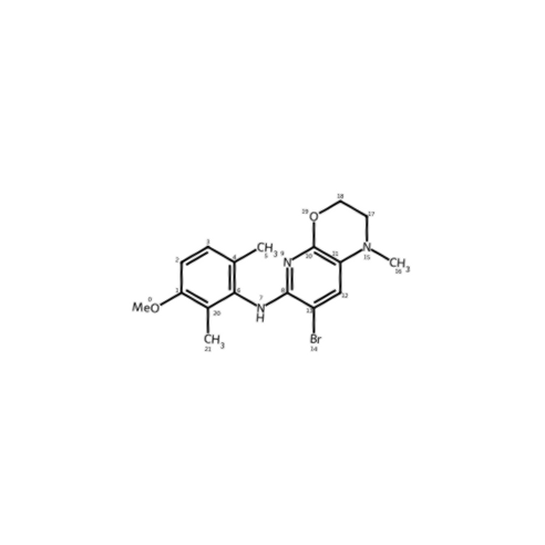 COc1ccc(C)c(Nc2nc3c(cc2Br)N(C)CCO3)c1C